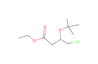 CCOC(=O)CC(CCl)OC(C)(C)C